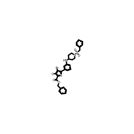 [O]c1c(C(=O)OCc2ccccc2)sc(-c2cccc(NC3CCN(S(=O)(=O)Cc4ccccc4)CC3)c2)c1Br